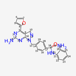 Nc1nc(-c2ccco2)c2cnn(Cc3ccc(C(=O)Nc4ccccc4N)cc3)c2n1